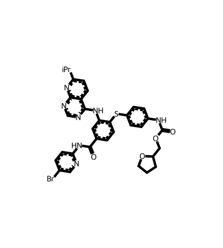 CC(C)c1ccc2c(Nc3cc(C(=O)Nc4ccc(Br)cn4)ccc3Sc3ccc(NC(=O)OCC4CCCO4)cc3)ncnc2n1